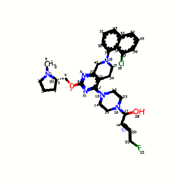 CN1CCC[C@H]1COc1nc2c(c(N3CCN(C(O)/C=C/CF)CC3)n1)CCN(c1cccc3cccc(Cl)c13)C2